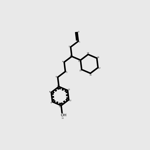 C=CCC(CCCc1ccc(O)cc1)C1CCCCC1